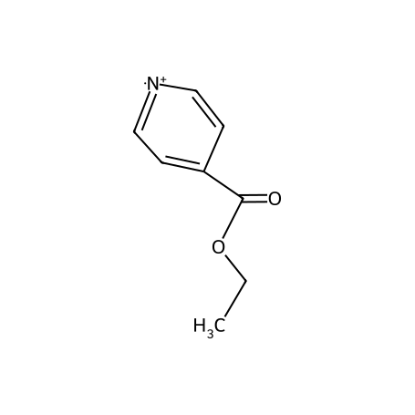 CCOC(=O)C1=CC=[N+]C=C1